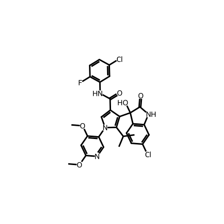 COc1cc(OC)c(-n2cc(C(=O)Nc3cc(Cl)ccc3F)c(C3(O)C(=O)Nc4cc(Cl)ccc43)c2C(C)C)cn1